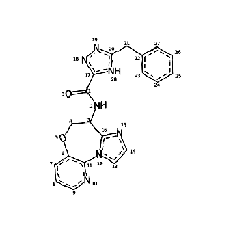 O=C(NC1COc2cccnc2-n2ccnc21)c1nnc(Cc2ccccc2)[nH]1